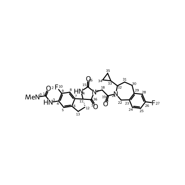 CNC(=O)Nc1cc2c(cc1F)[C@@]1(CC2)NC(=O)N(CC(=O)N2Cc3ccc(F)cc3CCC2C2CC2)C1=O